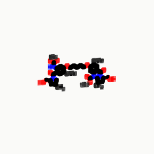 C=C1C[C@@H](CO)N(C(=O)c2cc(OC)c(OCCCCCOc3cc(NC(=O)OC(C)(C)C)c(C(=O)N4CC(=C)C[C@H]4CO)cc3OC)cc2NC(=O)OC(C)(C)C)C1